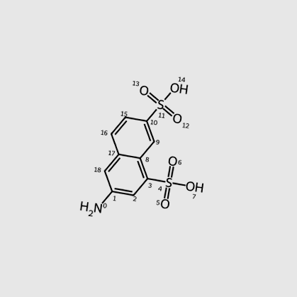 Nc1cc(S(=O)(=O)O)c2cc(S(=O)(=O)O)ccc2c1